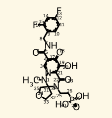 CN1n2cc(C(=O)NCc3ccc(F)cc3F)c(=O)c(O)c2C(=O)N(CCP(=O)(O)O)C12CCOC2